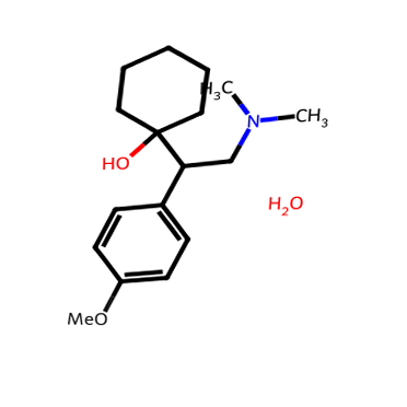 COc1ccc(C(CN(C)C)C2(O)CCCCC2)cc1.O